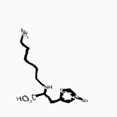 NCCCCCNC(Cc1cn(N=O)cn1)C(=O)O